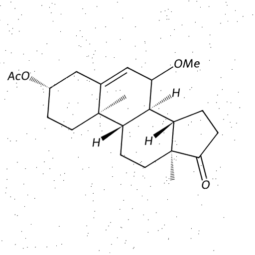 COC1C=C2C[C@@H](OC(C)=O)CC[C@]2(C)[C@H]2CC[C@]3(C)C(=O)CC[C@H]3[C@H]12